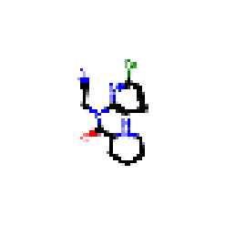 N#CCN(C(=O)C1CCCCN1)c1cccc(Br)n1